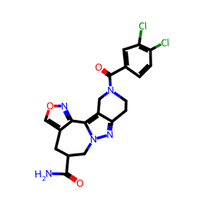 NC(=O)C1Cc2conc2-c2c3c(nn2C1)CCN(C(=O)c1ccc(Cl)c(Cl)c1)C3